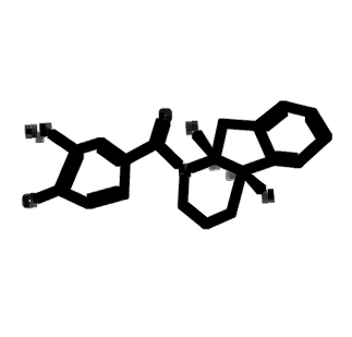 Nc1cc(C(=O)N2CCC[C@H]3c4ccccc4C[C@H]32)ccc1Cl